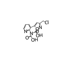 O=C(O)N(C(=O)O)c1ncccc1-c1cc(CCl)no1